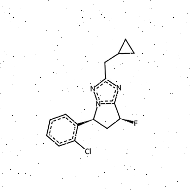 F[C@H]1C[C@@H](c2ccccc2Cl)n2nc(CC3CC3)nc21